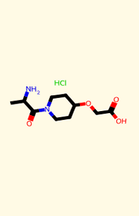 CC(N)C(=O)N1CCC(OCC(=O)O)CC1.Cl